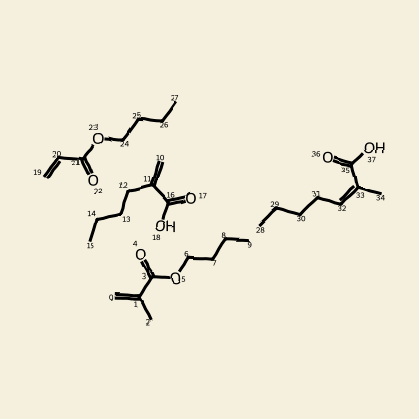 C=C(C)C(=O)OCCCC.C=C(CCCC)C(=O)O.C=CC(=O)OCCCC.CCCCC=C(C)C(=O)O